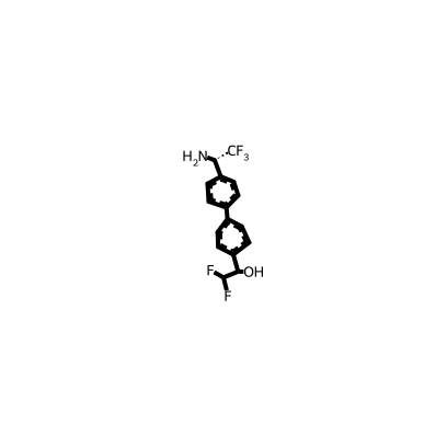 N[C@@H](c1ccc(-c2ccc(C(O)C(F)F)cc2)cc1)C(F)(F)F